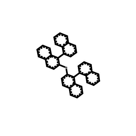 c1ccc2c(-c3c([N]c4ccc5ccccc5c4-c4cccc5ccccc45)ccc4ccccc34)cccc2c1